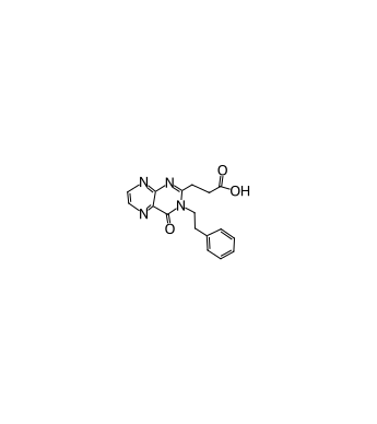 O=C(O)CCc1nc2nccnc2c(=O)n1CCc1ccccc1